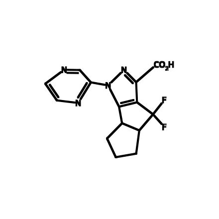 O=C(O)c1nn(-c2cnccn2)c2c1C(F)(F)C1CCCC21